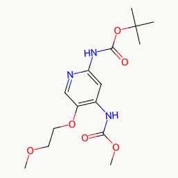 COCCOc1cnc(NC(=O)OC(C)(C)C)cc1NC(=O)OC